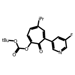 CC(C)c1ccc(OC(=O)OC(C)(C)C)c(=O)c(-c2cncc(F)c2)c1